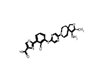 C[C@@H]1OCC2(CCN(c3cnc(Sc4cccc(-c5nc(C(=O)O)co5)c4Cl)cn3)CC2)[C@@H]1N